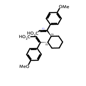 COc1ccc(C(=CC(=O)O)[C@H]2CCCC[C@@H]2/C(=C\C(=O)O)c2ccc(OC)cc2)cc1